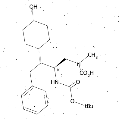 CN(C[C@@H](NC(=O)OC(C)(C)C)C(Cc1ccccc1)[C@H]1CC[C@@H](O)CC1)C(=O)O